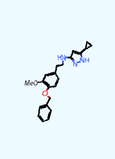 COc1cc(CCNc2cc(C3CC3)[nH]n2)ccc1OCc1ccccc1